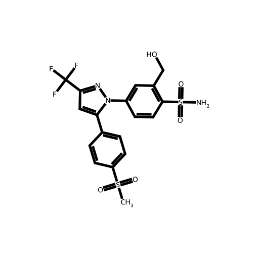 CS(=O)(=O)c1ccc(-c2cc(C(F)(F)F)nn2-c2ccc(S(N)(=O)=O)c(CO)c2)cc1